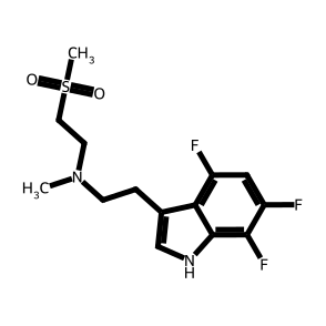 CN(CCc1c[nH]c2c(F)c(F)cc(F)c12)CCS(C)(=O)=O